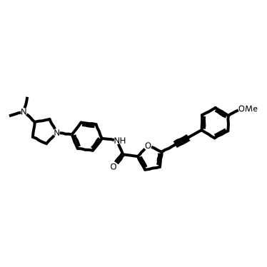 COc1ccc(C#Cc2ccc(C(=O)Nc3ccc(N4CCC(N(C)C)C4)cc3)o2)cc1